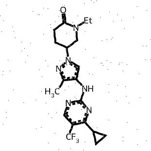 CCN1CC(n2cc(Nc3ncc(C(F)(F)F)c(C4CC4)n3)c(C)n2)CCC1=O